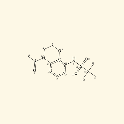 CC(=O)N1CCOc2c(NS(=O)(=O)C(C)(C)C)cccc21